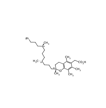 Cc1c(C)c2c(c(C)c1CC(=O)O)CC[C@@](C)(CCC[C@H](C)CCC[C@H](C)CCCC(C)C)O2